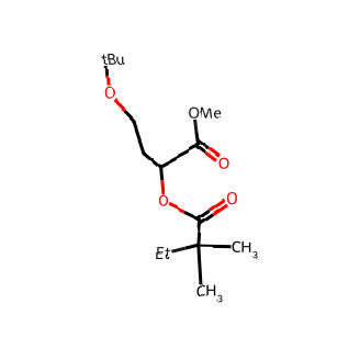 CCC(C)(C)C(=O)OC(CCOC(C)(C)C)C(=O)OC